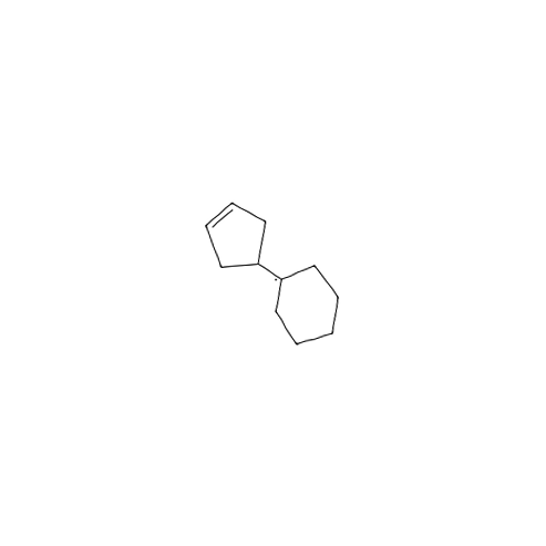 C1=CCC([C]2CCCCC2)C1